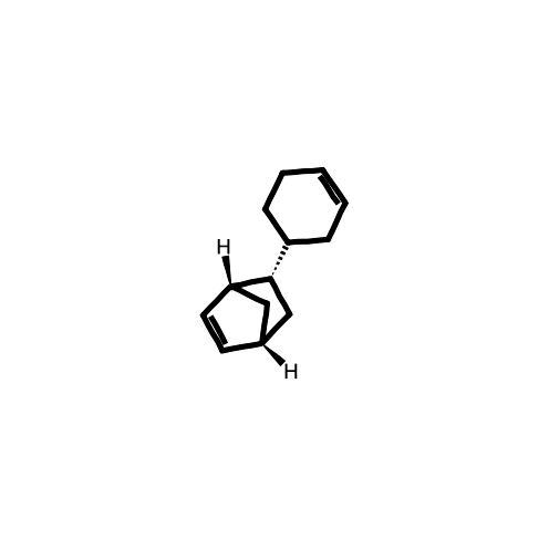 C1=CCC([C@@H]2C[C@@H]3C=C[C@H]2C3)CC1